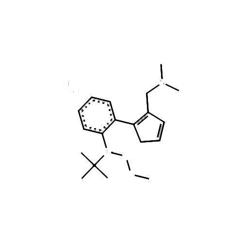 CO[O][Ti+2]([c]1ccccc1C1=C(CN(C)C)C=CC1)[C](C)(C)C.[Cl-].[Cl-]